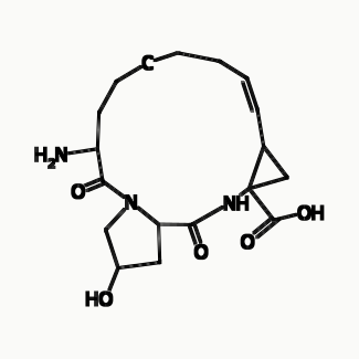 NC1CCCCC/C=C\C2CC2(C(=O)O)NC(=O)C2CC(O)CN2C1=O